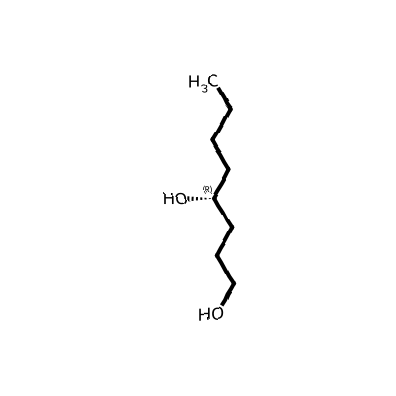 CCCC[C@@H](O)CCCO